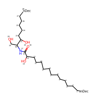 CCCCCCCCCCCCCCCCCCCCCCC(O)C(=O)NC(CO)C(O)CCCCCCCCCCCCCCC